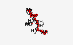 CN(CCN1CCC(OC(=O)Nc2ccccc2-c2ccccc2)CC1)C(=O)CCCCNc1ccc(C(=O)N(C)CCCN(C)C(=O)CO[C@H]2Cc3ccccc3C23CCN(CC[C@@]2(c4ccc(F)cc4)CN(C(=O)c4cc(C(F)(F)F)cc(C(F)(F)F)c4)CO2)CC3)cc1.Cl.Cl.Cl